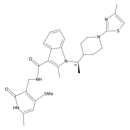 CSc1cc(C)[nH]c(=O)c1CNC(=O)c1c(C)n([C@H](C)C2CCN(c3nc(C)cs3)CC2)c2ccccc12